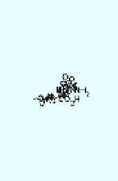 C=CCOC(=O)N1CC(N2CCC(=CC3=C(C(=O)O)N4C(=O)[C@@H](NC(=O)C(=NOC(c5ccccc5)(c5ccccc5)c5ccccc5)c5nsc(N)n5)[C@H]4SC3)C2=O)C1